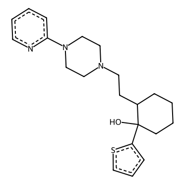 OC1(c2cccs2)CCCCC1CCN1CCN(c2ccccn2)CC1